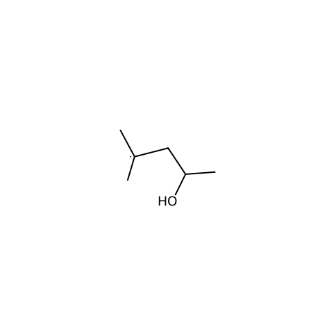 C[C](C)CC(C)O